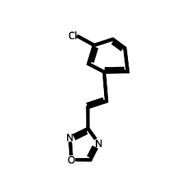 Clc1cccc(C=Cc2ncon2)c1